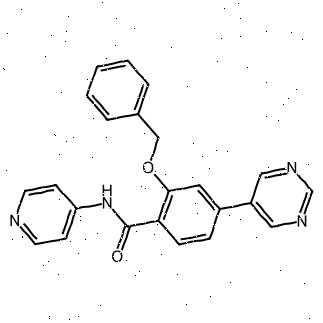 O=C(Nc1ccncc1)c1ccc(-c2cncnc2)cc1OCc1ccccc1